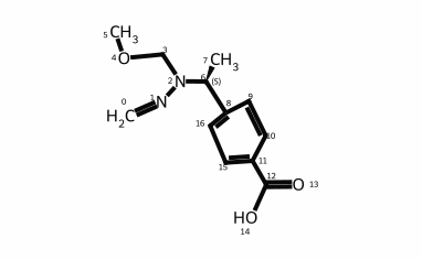 C=NN(COC)[C@@H](C)c1ccc(C(=O)O)cc1